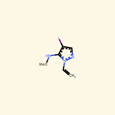 C=Cn1ncc(I)c1NOC